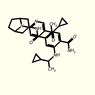 Cc1cc(C(N)=O)c(NC(C)C2CC2)cc1C(=O)NC1CC2CCC(C1)N2c1ccc(C(=O)C2CC2)cn1